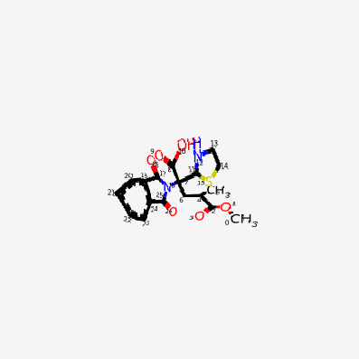 COC(=O)C(C)CC(C(=O)O)(C1NCCS1)N1C(=O)c2ccccc2C1=O